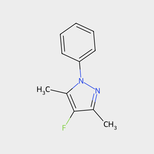 Cc1nn(-c2ccccc2)c(C)c1F